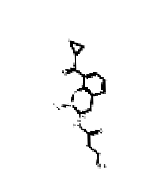 CC(=O)NCCC(=O)N[C@H]1Cc2cccc(C(=O)C3CC3)c2OB1O